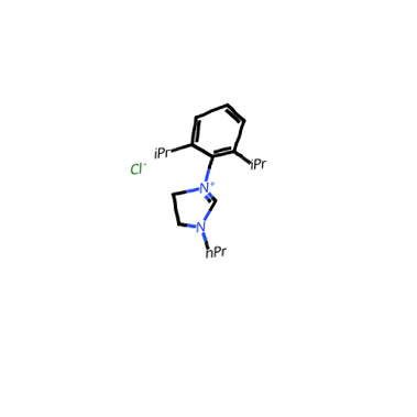 CCCN1C=[N+](c2c(C(C)C)cccc2C(C)C)CC1.[Cl-]